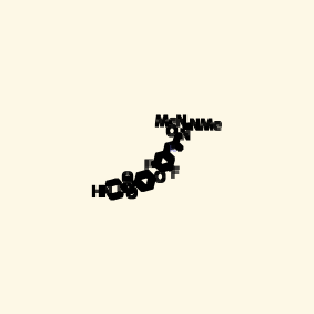 CNC(=NC(=O)/C(C)=C/c1cc(F)c(Oc2ccc(S(=O)(=O)N3CCNCC3)cc2)c(F)c1)NC